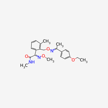 CCOc1ccc(/C(C)=N/OCc2c(C)cccc2/C(=N\OC)C(=O)NC)cc1